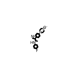 C/C(Nc1ccc(F)cc1)=C(/C=N)c1ccc(N2CC[S+]([O-])CC2)cc1